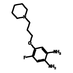 Nc1cc(F)c(OCCCN2CCCCC2)cc1N